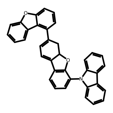 C1=C(c2cccc3oc4ccccc4c23)CC2Oc3c(cccc3-n3c4ccccc4c4ccccc43)C2=C1